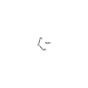 CCCOC(C)=O.[NaH]